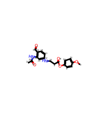 COc1ccc(OC(=O)CCNc2ccc(C=O)c(NC(C)=O)c2)cc1